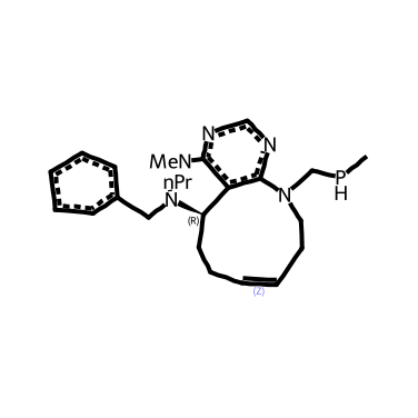 CCCN(Cc1ccccc1)[C@@H]1CC/C=C\CCN(CPC)c2ncnc(NC)c21